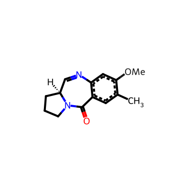 COc1cc2c(cc1C)C(=O)N1CCC[C@H]1C=N2